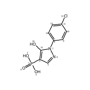 O=P(O)(O)c1cnn(-c2ccc(Cl)cc2)c1O